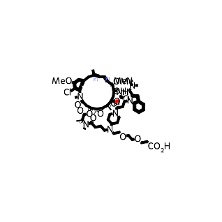 CNN(C)Cc1cc2ccccc2n1CCC(=O)N1CCC(N(CCCC(=O)N(C)[C@@H](C)C(=O)O[C@H]2CC(=O)N(C)c3cc(cc(OC)c3Cl)C/C(C)=C/C=C/[C@@H](OC)[C@@]3(O)C[C@H](OC(=O)N3)[C@@H](C)C3O[C@]32C)CCOCCOCCC(=O)O)CC1